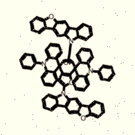 c1ccc(N2c3ccccc3C3(c4ccccc42)c2cc(-n4c5ccccc5c5cc6oc7ccccc7c6cc54)oc2C2(c4ccccc4N(c4ccccc4)c4ccccc42)c2cc(-n4c5ccccc5c5cc6oc7ccccc7c6cc54)oc23)cc1